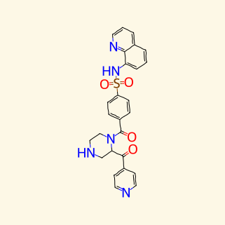 O=C(c1ccncc1)C1CNCCN1C(=O)c1ccc(S(=O)(=O)Nc2cccc3cccnc23)cc1